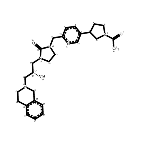 CC(=O)N1CCC(c2ccc(CN3CCN(C[C@H](O)CN4CCc5ccccc5C4)C3=O)nc2)C1